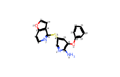 Nc1ncc(Sc2nccc3occc23)cc1Oc1ccccc1